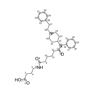 O=C(O)CCCNC(=O)CCCCC(=O)N(c1ccccc1)C1CCN(CCc2ccccc2)CC1